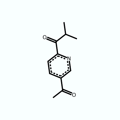 CC(=O)c1ccc(C(=O)C(C)C)nc1